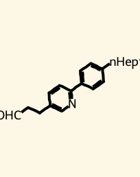 CCCCCCCc1ccc(-c2ccc(CCC=O)cn2)cc1